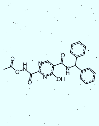 CC(=O)ONC(=O)c1ncc(C(=O)NC(c2ccccc2)c2ccccc2)c(O)n1